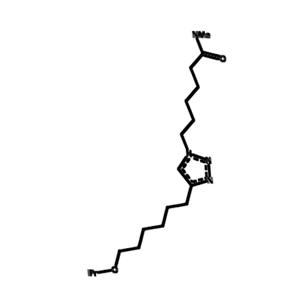 CNC(=O)CCCCCn1cc(CCCCCCOC(C)C)nn1